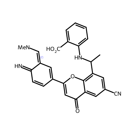 CN/C=C1/C=C(c2cc(=O)c3cc(C#N)cc(C(C)Nc4ccccc4C(=O)O)c3o2)C=CC1=N